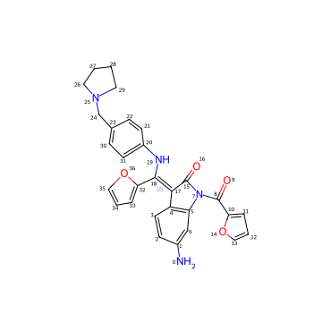 Nc1ccc2c(c1)N(C(=O)c1ccco1)C(=O)/C2=C(\Nc1ccc(CN2CCCC2)cc1)c1ccco1